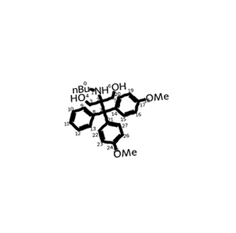 CCCCNC(CO)(CO)C(c1ccccc1)(c1ccc(OC)cc1)c1ccc(OC)cc1